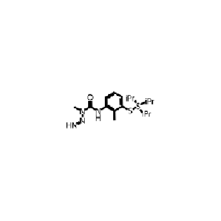 Cc1c(NC(=O)N(C)N=N)cccc1SS(C(C)C)(C(C)C)C(C)C